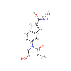 CC(C)(C)CC(=O)N(CCO)c1ccc2sc(C(=O)NO)cc2c1